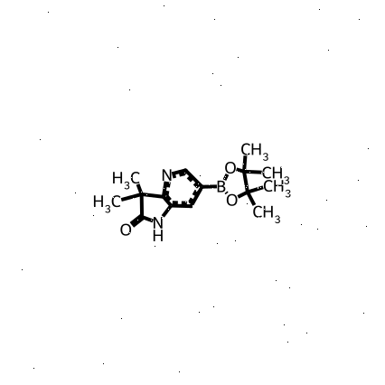 CC1(C)C(=O)Nc2cc(B3OC(C)(C)C(C)(C)O3)cnc21